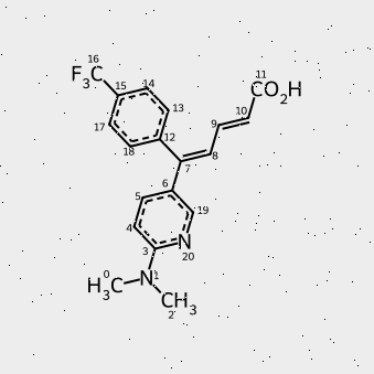 CN(C)c1ccc(C(=CC=CC(=O)O)c2ccc(C(F)(F)F)cc2)cn1